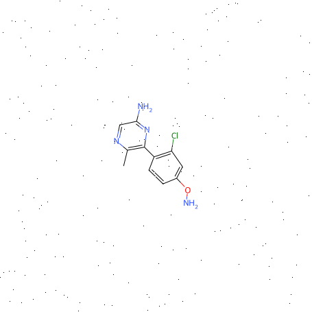 Cc1ncc(N)nc1-c1ccc(ON)cc1Cl